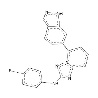 Fc1ccc(Nc2nc3cccc(-c4ccc5cn[nH]c5c4)n3n2)cc1